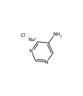 Nc1cncnc1.[Cl-].[Na+]